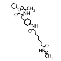 CONC(=O)CCCCCCC(=O)Nc1ccc(C[C@H](NC(C)=O)C(=O)OC2CCCC2)cc1